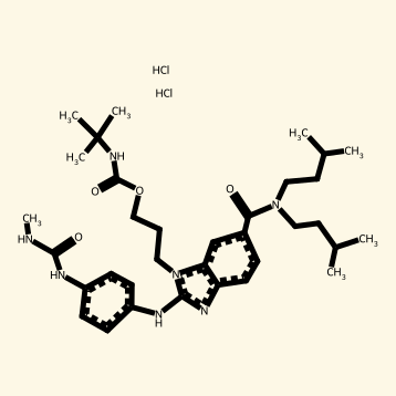 CNC(=O)Nc1ccc(Nc2nc3ccc(C(=O)N(CCC(C)C)CCC(C)C)cc3n2CCCOC(=O)NC(C)(C)C)cc1.Cl.Cl